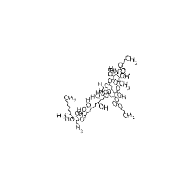 C=CCOC(=O)NC1C(O)C(C)OC(OC(C)CC2OC(O)(CC(O)CC(O)C(O)CCC(O)CC(O)CC(=O)OC(C)C(C)C(O)C(C)/C=C/C=C/C=C/C)CC(OC(=O)OCC=C)C2C(=O)O)C1O